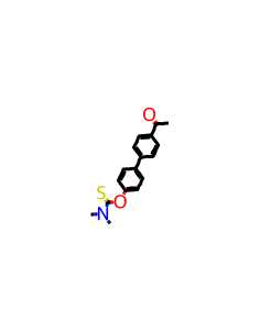 CC(=O)c1ccc(-c2ccc(OC(=S)N(C)C)cc2)cc1